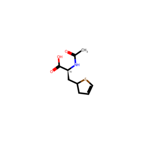 CC(=O)N[C@@H](CC1CC=CS1)C(=O)O